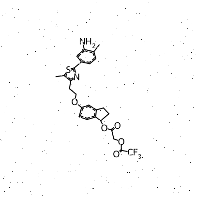 Cc1ccc(-c2nc(CCOc3ccc4c(c3)CCC4OC(=O)COC(=O)C(F)(F)F)c(C)s2)cc1N